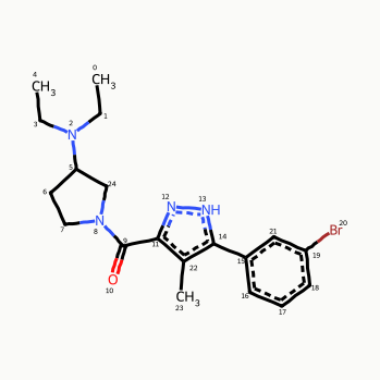 CCN(CC)C1CCN(C(=O)c2n[nH]c(-c3cccc(Br)c3)c2C)C1